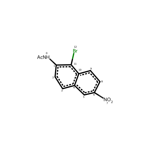 CC(=O)Nc1ccc2cc([N+](=O)[O-])ccc2c1Br